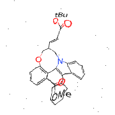 COC(=O)c1cccc2c1-c1c(C3CCCCC3)c3ccccc3n1CC(C=CC(=O)OC(C)(C)C)CO2